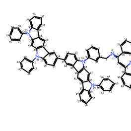 N/C(=C\C(=N/Cc1cccc(-n2c3ccc(-c4ccc5c(c4)c4cc6c7ccccc7n(-c7ccccc7)c6cc4n5-c4ccccc4)cc3c3cc4c5ccccc5n(-c5ccccc5)c4cc32)c1)c1ccccc1)c1ccccc1